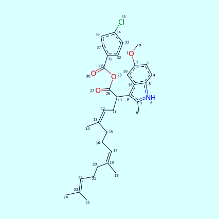 COc1ccc2[nH]c(C)c(C(CC=C(C)CCC=C(C)CCC=C(C)C)C(=O)OC(=O)c3ccc(Cl)cc3)c2c1